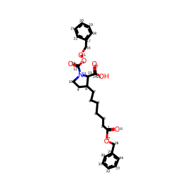 O=C(CCCCCCC1CCN(C(=O)OOCc2ccccc2)C1C(=O)O)OCc1ccccc1